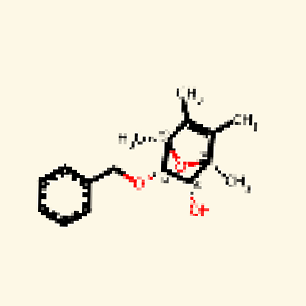 CC1=C(C)[C@@]2(C)O[C@]1(C)[C@H](O)[C@@H]2OCc1ccccc1